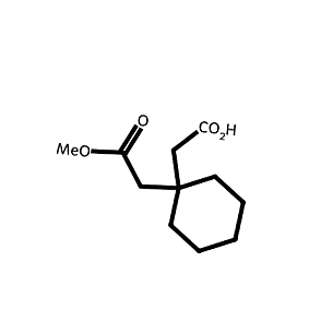 COC(=O)CC1(CC(=O)O)CCCCC1